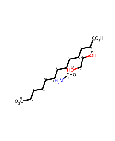 NC=O.O=C(O)CCCCCCCCCCCC(=O)O.OCCO